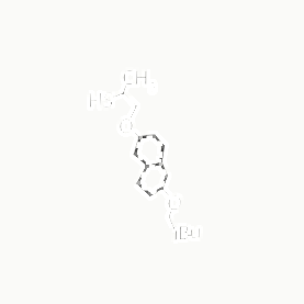 CCC(C)COc1ccc2cc(OCC(C)S)ccc2c1